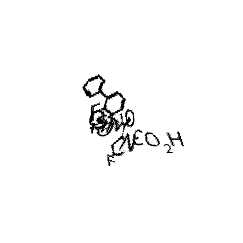 CS(=O)(=O)C1(NC(=O)[C@@H]2C[C@@H](F)CN2C(=O)O)C=CC=C(c2ccccc2)C1F